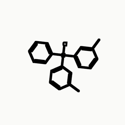 Cc1cccc([Si](Cl)(c2ccccc2)c2cccc(C)c2)c1